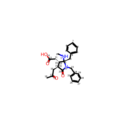 CN[C@@]1(Cc2ccccc2)[C@@H](CC(=O)O)[C@H](CC(C)=O)C(=O)N1Cc1ccccc1